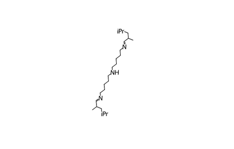 CC(C)CC(C)C=NCCCCCNCCCCCN=CC(C)CC(C)C